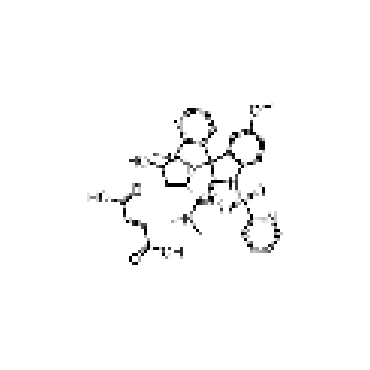 COc1ccc2c(c1)C(c1cccnc1OC)(N1C[C@H](O)C[C@H]1C(=O)N(C)C)C(=O)N2S(=O)(=O)c1ccccn1.O=C(O)C=CC(=O)O